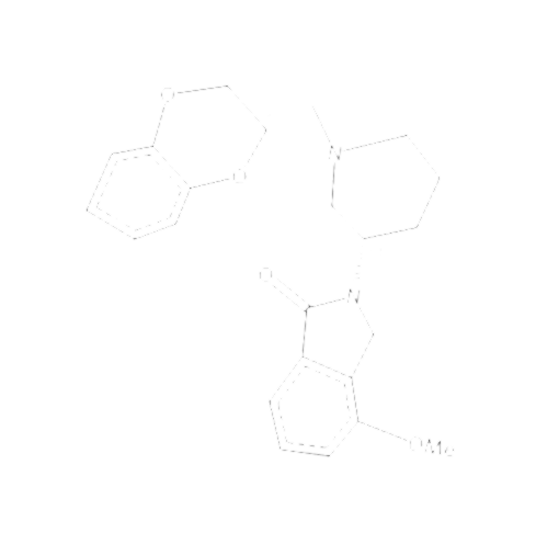 COc1cccc2c1CN([C@H]1CCCN(C[C@H]3COc4ccccc4O3)C1)C2=O